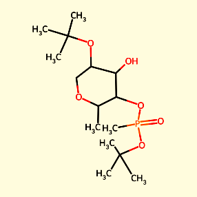 CC1OCC(OC(C)(C)C)C(O)C1OP(C)(=O)OC(C)(C)C